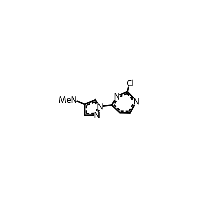 CNc1cnn(-c2ccnc(Cl)n2)c1